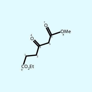 CCOC(=O)CCC(=O)CC(=O)OC